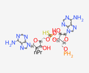 CCC[C@@H]1[C@H](O)[C@@H](CO[P@@](=O)(S)O[C@H]2[C@@H](O)[C@H](n3cnc4c(N)ncnc43)O[C@@H]2COP)O[C@H]1n1cnc2c(N)ncnc21